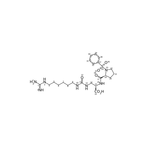 N=C(N)NCCCCCCNC(=O)NC[C@@H](NC(=O)[C@@H]1CCCN1S(=O)(=O)c1ccccc1)C(=O)O